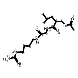 CC(=O)SCC(CC(C)C)C(=O)NCC(=O)NCCCCNC(=N)N